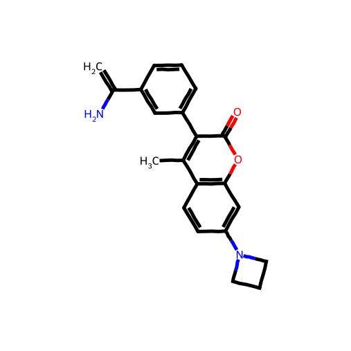 C=C(N)c1cccc(-c2c(C)c3ccc(N4CCC4)cc3oc2=O)c1